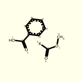 CO[C](=O)[K].O=C(O)c1ccccc1